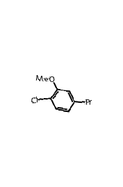 COc1cc(C(C)C)ccc1Cl